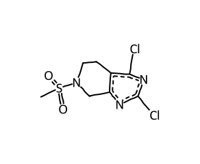 CS(=O)(=O)N1CCc2c(Cl)nc(Cl)nc2C1